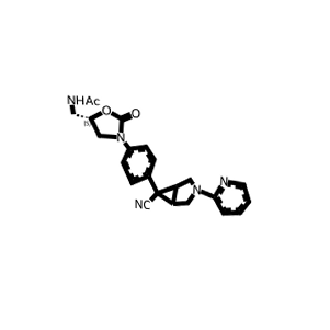 CC(=O)NC[C@H]1CN(c2ccc(C3(C#N)C4CN(c5ccccn5)CC43)cc2)C(=O)O1